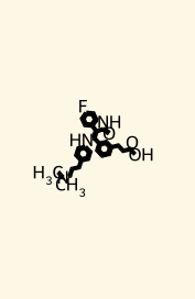 CN(C)CCCc1ccc(NC(=C2C(=O)Nc3cc(F)ccc32)c2cccc(CCC(=O)O)c2)cc1